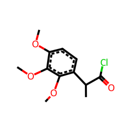 COc1ccc(C(C)C(=O)Cl)c(OC)c1OC